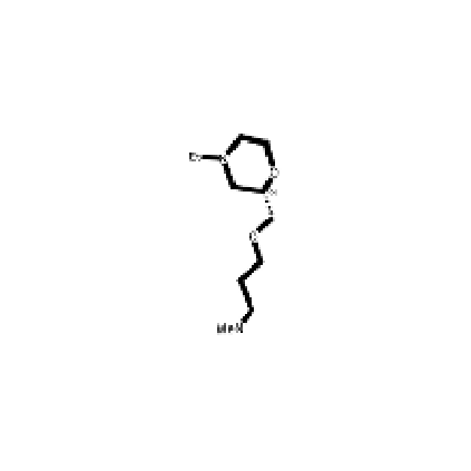 CCN1CCO[C@H](COCCCNC)C1